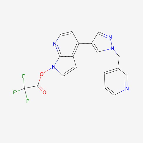 O=C(On1ccc2c(-c3cnn(Cc4cccnc4)c3)ccnc21)C(F)(F)F